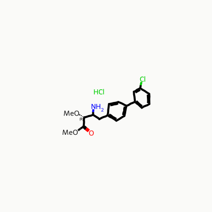 COC(=O)[C@H](OC)C(N)Cc1ccc(-c2cccc(Cl)c2)cc1.Cl